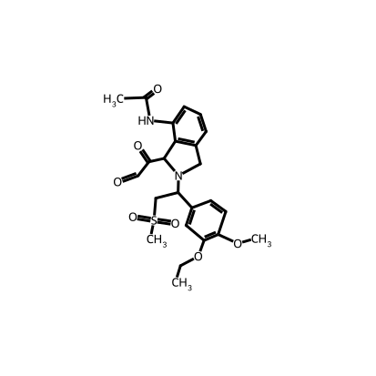 CCOc1cc(C(CS(C)(=O)=O)N2Cc3cccc(NC(C)=O)c3C2C(=O)C=O)ccc1OC